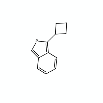 C1=c2ccccc2=C(C2CCC2)[P]1